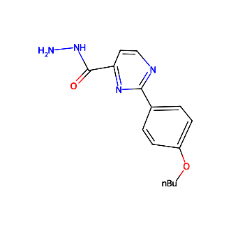 CCCCOc1ccc(-c2nccc(C(=O)NN)n2)cc1